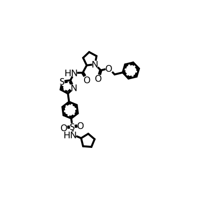 O=C(Nc1nc(-c2ccc(S(=O)(=O)NC3CCCC3)cc2)cs1)C1CCCN1C(=O)OCc1ccccc1